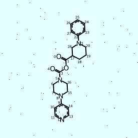 O=C(OC(=O)N1CCN(c2ccncc2)CC1)C1CCCN(c2ccccc2)C1